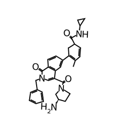 CC1=C(c2ccc3c(=O)n(Cc4ccccc4)cc(C(=O)N4CC[C@@H](N)C4)c3c2)CC(C(=O)NC2CC2)C=C1